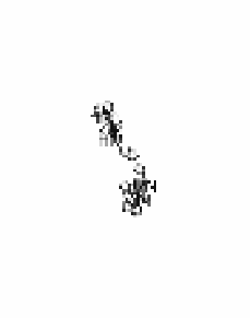 COC(=O)NC(C(=O)N1CCCC1c1ncc(-c2ccc3cc(-c4ccc(-c5cnc(C6CCCN6C(=O)C6(NC(=O)OC)CCc7ccccc76)[nH]5)cc4)ccc3c2)[nH]1)C(C)C